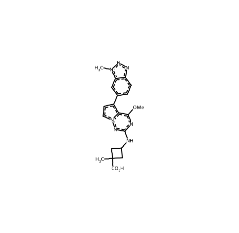 COc1nc(NC2CC(C)(C(=O)O)C2)nn2ccc(-c3ccc4nnn(C)c4c3)c12